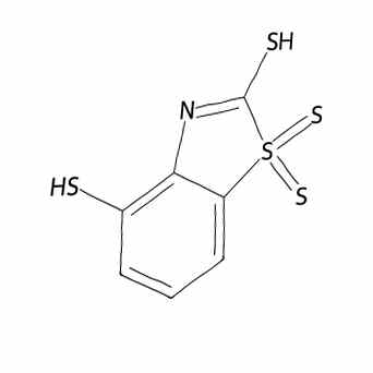 S=S1(=S)C(S)=Nc2c(S)cccc21